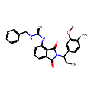 C=C(NCc1ccccc1)Nc1cccc2c1C(=O)N(C(CC#N)c1ccc(OC)c(OCC)c1)C2=O